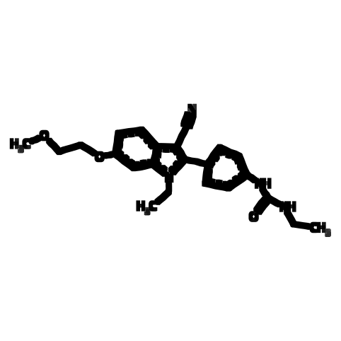 CCNC(=O)Nc1ccc(-c2c(C#N)c3ccc(OCCOC)cc3n2CC)cc1